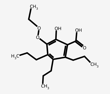 CCCc1c(CCC)c(OOCC)c(O)c(C(=O)O)c1CCC